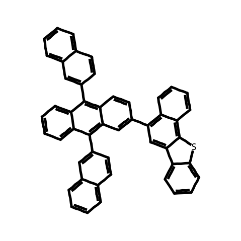 c1ccc2cc(-c3c4ccccc4c(-c4ccc5ccccc5c4)c4cc(-c5cc6c7ccccc7sc6c6ccccc56)ccc34)ccc2c1